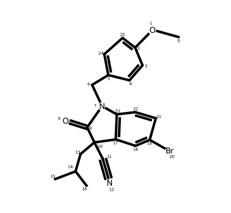 COc1ccc(CN2C(=O)C(C#N)(CC(C)C)c3cc(Br)ccc32)cc1